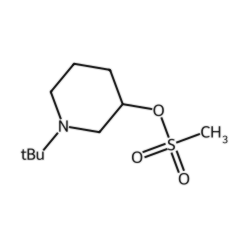 CC(C)(C)N1CCCC(OS(C)(=O)=O)C1